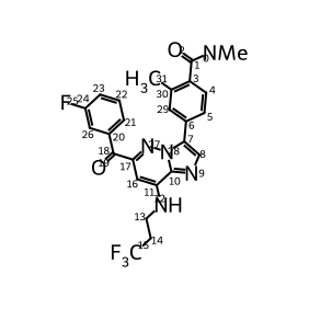 CNC(=O)c1ccc(-c2cnc3c(NCCC(F)(F)F)cc(C(=O)c4cccc(F)c4)nn23)cc1C